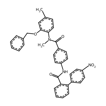 Cc1ccc(N(C)C(=O)c2ccc(NC(=O)c3ccccc3-c3ccc([N+](=O)[O-])cc3)cc2)c(OCc2ccccc2)c1